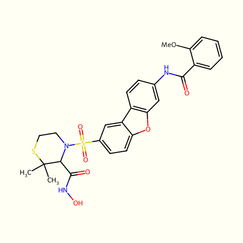 COc1ccccc1C(=O)Nc1ccc2c(c1)oc1ccc(S(=O)(=O)N3CCSC(C)(C)C3C(=O)NO)cc12